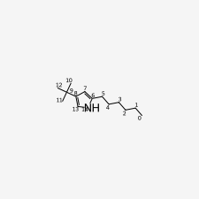 CCCCCCc1cc(C(C)(C)C)c[nH]1